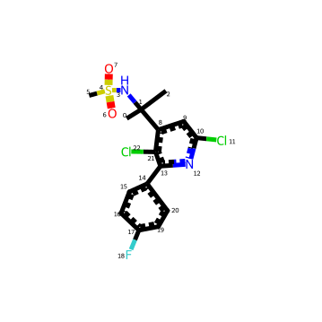 CC(C)(NS(C)(=O)=O)c1cc(Cl)nc(-c2ccc(F)cc2)c1Cl